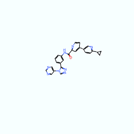 O=C(Nc1cccc(-c2nncn2-c2cncnc2)c1)c1cc(-c2ccc(C3CC3)nc2)ccn1